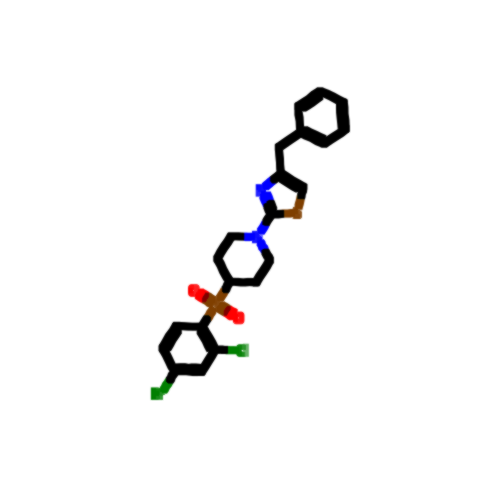 O=S(=O)(c1ccc(Br)cc1Cl)C1CCN(c2nc(Cc3ccccc3)cs2)CC1